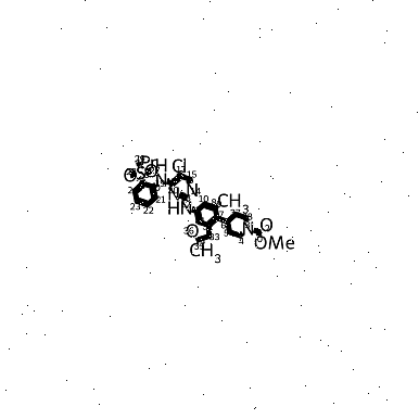 COC(=O)N1CCC(c2c(C)cc(Nc3ncc(Cl)c(Nc4ccccc4S(=O)(=O)C(C)C)n3)c3c2C[C@H](C)O3)CC1